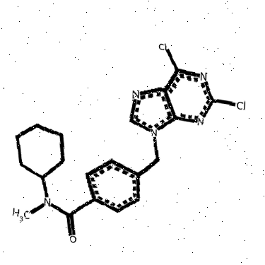 CN(C(=O)c1ccc(Cn2cnc3c(Cl)nc(Cl)nc32)cc1)C1CCCCC1